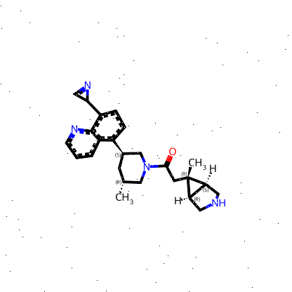 C[C@@H]1C[C@@H](c2ccc(C3C=N3)c3ncccc23)CN(C(=O)C[C@@]2(C)[C@@H]3CNC[C@@H]32)C1